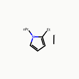 CCCn1cccc1CC.[CH2]C